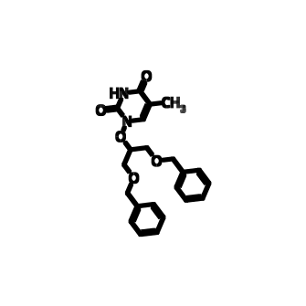 Cc1cn(OC(COCc2ccccc2)COCc2ccccc2)c(=O)[nH]c1=O